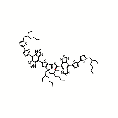 CCCCC(CC)Cc1ccc(-c2ccc(-c3c4c(c(-c5cc6c(s5)-c5sc(-c7c8c(c(-c9ccc(-c%10ccc(CC(CC)CCCC)s%10)s9)c9nsnc79)N=S=N8)cc5C6(CC(CC)CCCC)CC(CC)CCCC)c5nsnc35)N=S=N4)s2)s1